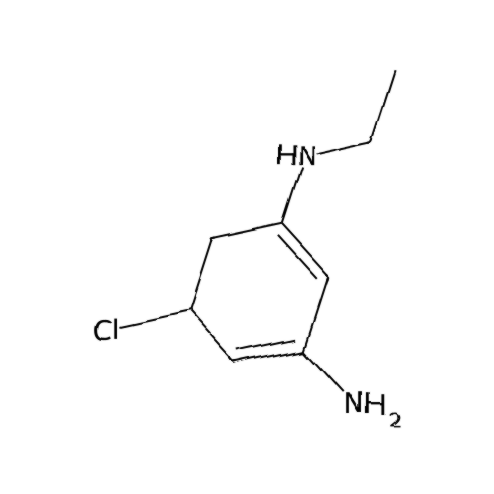 CCNC1=CC(N)=CC(Cl)C1